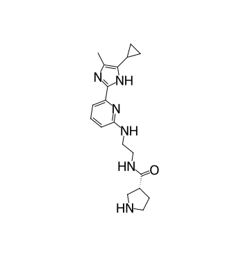 Cc1nc(-c2cccc(NCCNC(=O)[C@@H]3CCNC3)n2)[nH]c1C1CC1